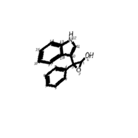 OC1OC1(c1ccccc1)c1c[nH]c2ccccc12